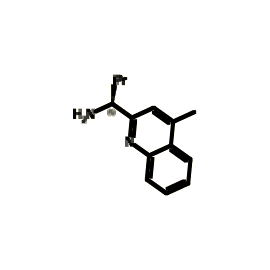 Cc1cc([C@@H](N)C(C)C)nc2ccccc12